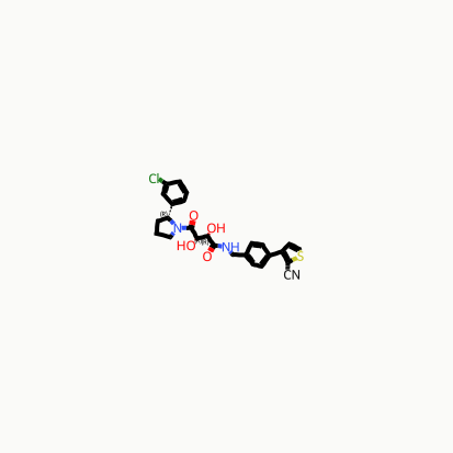 N#Cc1sccc1-c1ccc(CNC(=O)[C@H](O)[C@@H](O)C(=O)N2CCC[C@@H]2c2cccc(Cl)c2)cc1